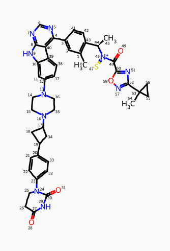 Cc1cc(-c2ncnc3[nH]c4cc(N5CCN(C6CC(c7ccc(N8CCC(=O)NC8=O)cc7)C6)CC5)ccc4c23)ccc1[C@@H](C)[N+](=S)C(=O)c1nc(C2(C)CC2)no1